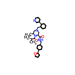 CC(C)C(=O)N1C(C)CN(Cc2ccccc2-c2cccnc2)CC1C(=O)NCc1ccc(-c2ccco2)cc1